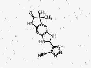 CC1(C)C(=O)Nc2cc3c(cc21)NC(c1[nH]nnc1C#N)N3